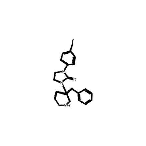 O=C1N(c2ccc(F)cc2)CCN1C1(Cc2ccccc2)CCCNC1